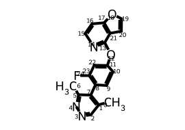 Cc1cnnc(C)c1-c1ccc(Oc2nccc3occc23)cc1F